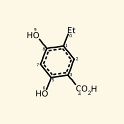 CCc1cc(C(=O)O)c(O)cc1O